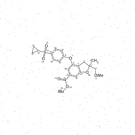 COCC1(C)Cc2c(Oc3ccc(S(=O)(=O)C4CC4)cc3)cc(C(=O)OC(C)(C)C)cc2O1